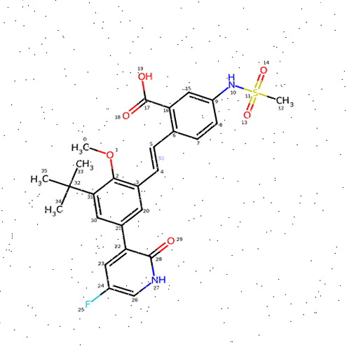 COc1c(/C=C/c2ccc(NS(C)(=O)=O)cc2C(=O)O)cc(-c2cc(F)c[nH]c2=O)cc1C(C)(C)C